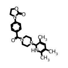 CC1=CC(C)=C(C)NC1N1CCN(C(=O)c2ccc(N3CCOC3=O)cc2)CC1